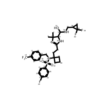 CC1(C)N=C(CCC2(N(Cc3ccc(C(F)(F)F)cc3)S(=O)(=O)c3ccc(F)cc3)CCC2)NC1C(O)NCC1CC1(F)F